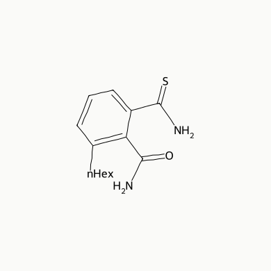 CCCCCCc1cccc(C(N)=S)c1C(N)=O